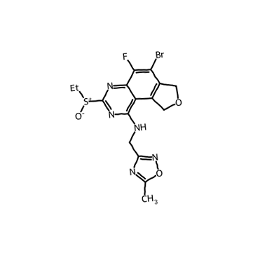 CC[S+]([O-])c1nc(NCc2noc(C)n2)c2c3c(c(Br)c(F)c2n1)COC3